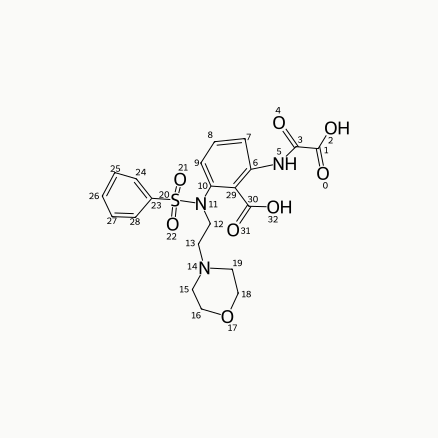 O=C(O)C(=O)Nc1cccc(N(CCN2CCOCC2)S(=O)(=O)c2ccccc2)c1C(=O)O